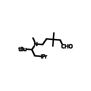 CC(C)CC(N(C)CCC(C)(C)CC=O)C(C)(C)C